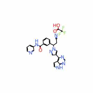 N#CCC(c1cccc(C(=O)Nc2cccnc2)c1)n1cc(-c2ncnc3[nH]ccc23)cn1.O=C(O)C(F)(F)F